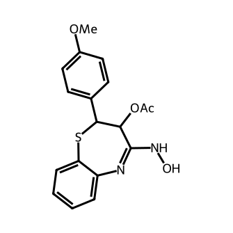 COc1ccc(C2Sc3ccccc3N=C(NO)C2OC(C)=O)cc1